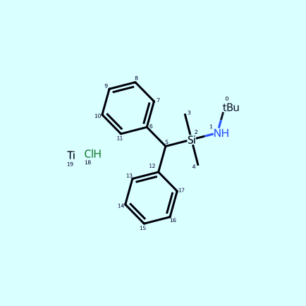 CC(C)(C)N[Si](C)(C)C(c1ccccc1)c1ccccc1.Cl.[Ti]